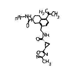 C=C(C)c1ccc(CNC(=O)[C@@H]2C[C@H]2c2nc(C)no2)c2c1CCN(C(=O)NCCC)C2